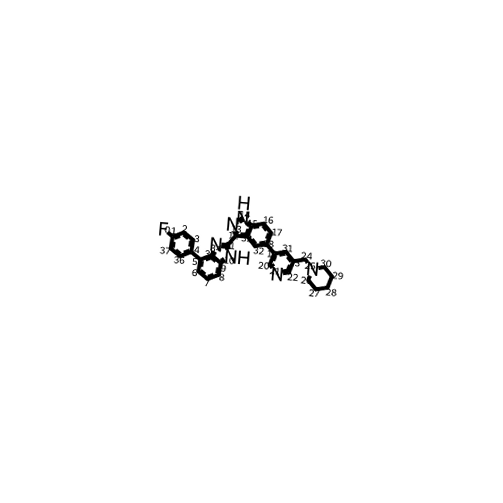 Fc1ccc(-c2cccc3[nH]c(-c4n[nH]c5ccc(-c6cncc(CN7CCCCC7)c6)cc45)nc23)cc1